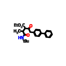 CCOC(=O)C(C(=O)Cc1ccc(-c2ccccc2)cc1)C(C)C(=O)NC(C)(C)C